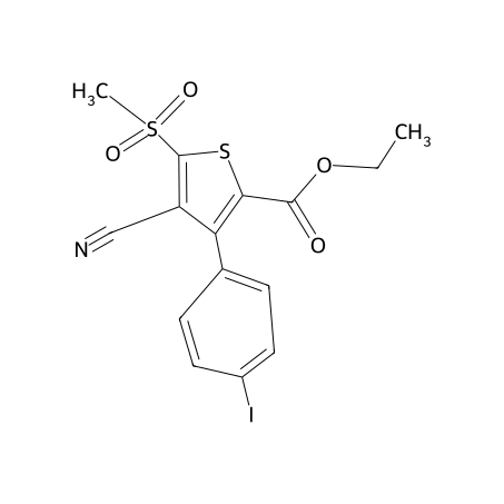 CCOC(=O)c1sc(S(C)(=O)=O)c(C#N)c1-c1ccc(I)cc1